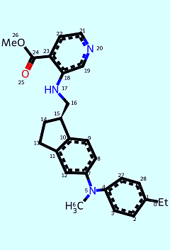 CCc1ccc(N(C)c2ccc3c(c2)CC[C@H]3CNc2cnccc2C(=O)OC)cc1